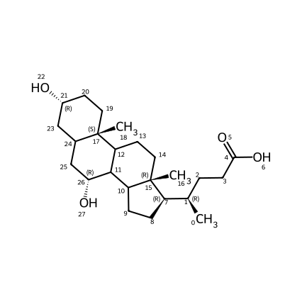 C[C@H](CCC(=O)O)[C@H]1CCC2C3C(CC[C@@]21C)[C@@]1(C)CC[C@@H](O)CC1C[C@H]3O